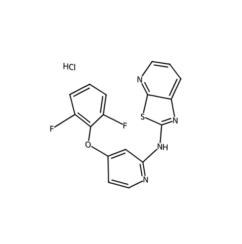 Cl.Fc1cccc(F)c1Oc1ccnc(Nc2nc3cccnc3s2)c1